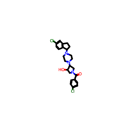 O=C(c1ccc(Cl)cc1)N1CC(O)C(N2CCN(C3CCc4cc(Cl)ccc43)CC2)C1